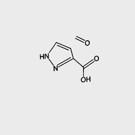 C=O.O=C(O)c1cc[nH]n1